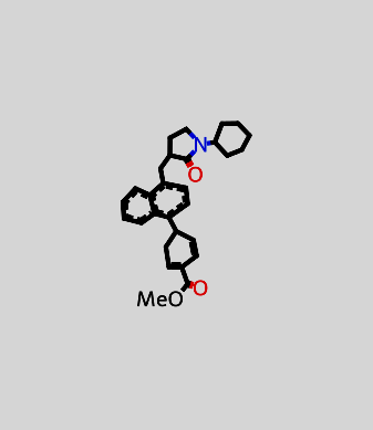 COC(=O)C1=CCC(c2ccc(CC3CCN(C4CCCCC4)C3=O)c3ccccc23)C=C1